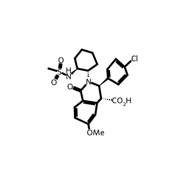 COc1ccc2c(c1)[C@@H](C(=O)O)[C@H](c1ccc(Cl)cc1)N([C@H]1CCCC[C@@H]1NS(C)(=O)=O)C2=O